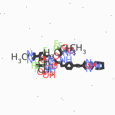 COC(=O)NC(C(=O)NC(Cc1ccc(C#Cc2cnc(N3CC4CCC(C3)N4C3COC3)nc2)cc1)C(O)CN(Cc1c(F)cc(-c2cnc(C)nc2)cc1F)NC(=O)C(NC(=O)O)C(C)(C)C(F)(F)F)C(C)(C)C(F)(F)F